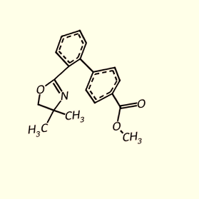 COC(=O)c1ccc(-c2ccccc2C2=NC(C)(C)CO2)cc1